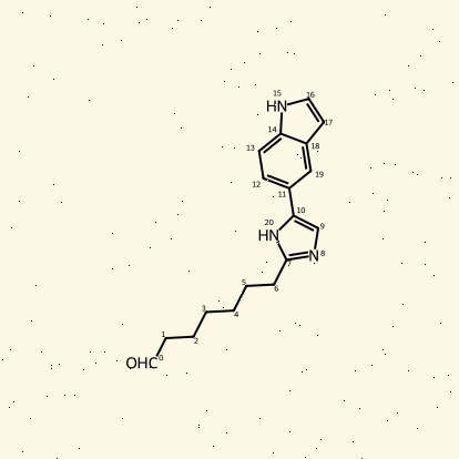 O=CCCCCCCc1ncc(-c2ccc3[nH]ccc3c2)[nH]1